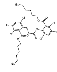 CCC(C)CCCCCOC(=O)c1c(Cl)c(Cl)cc(Cl)c1OC(=O)C(=O)Oc1c(Cl)cc(Cl)c(Cl)c1C(=O)OCCCCCC(C)CC